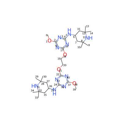 COc1nc(NC2CC(C)(C)NC(C)(C)C2)nc(OCCOc2nc(NC3CC(C)(C)NC(C)(C)C3)nc(OC)n2)n1